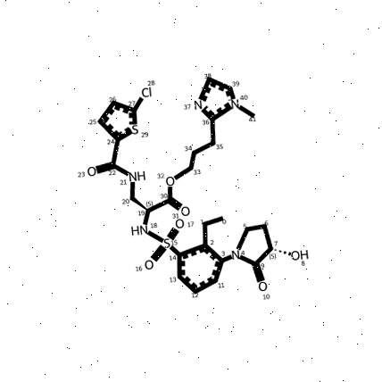 CCc1c(N2CC[C@H](O)C2=O)cccc1S(=O)(=O)N[C@@H](CNC(=O)c1ccc(Cl)s1)C(=O)OCCCc1nccn1C